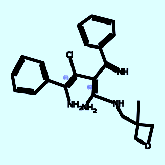 CC1(CN/C(N)=C(C(=N)c2ccccc2)/C(Cl)=C(\N)c2ccccc2)COC1